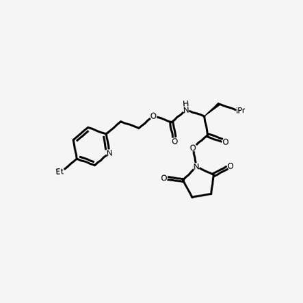 CCc1ccc(CCOC(=O)N[C@@H](CC(C)C)C(=O)ON2C(=O)CCC2=O)nc1